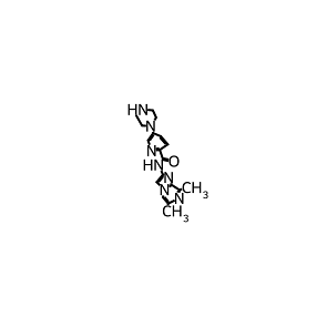 Cc1cn2cc(NC(=O)c3ccc(N4CCNCC4)cn3)nc2c(C)n1